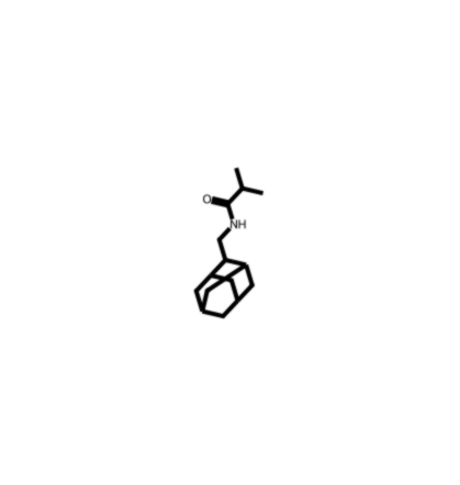 CC(C)C(=O)NCC1C2CC3CC(C2)CC1C3